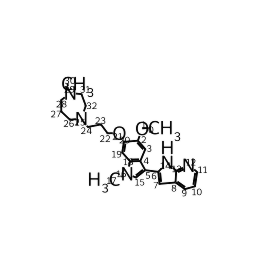 COc1cc2c(-c3cc4cccnc4[nH]3)cn(C)c2cc1OCCCN1CCCN(C)CC1